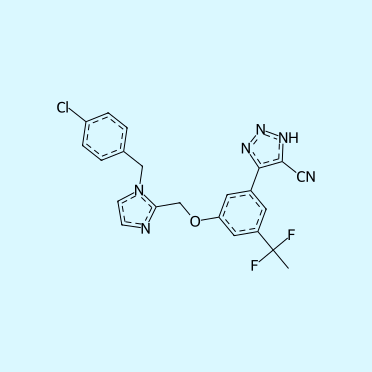 CC(F)(F)c1cc(OCc2nccn2Cc2ccc(Cl)cc2)cc(-c2nn[nH]c2C#N)c1